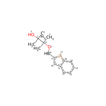 CC(C)(O)C(C)(C)OBc1cc2ccccc2s1